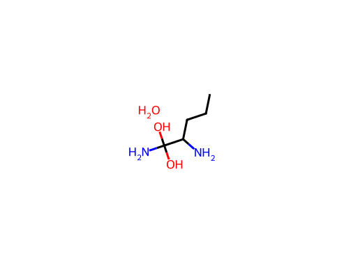 CCCC(N)C(N)(O)O.O